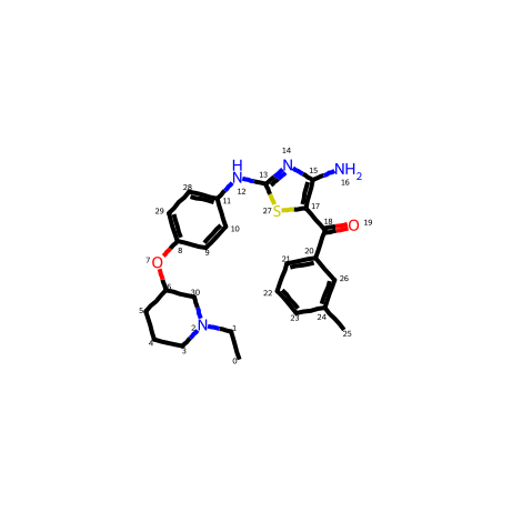 CCN1CCCC(Oc2ccc(Nc3nc(N)c(C(=O)c4cccc(C)c4)s3)cc2)C1